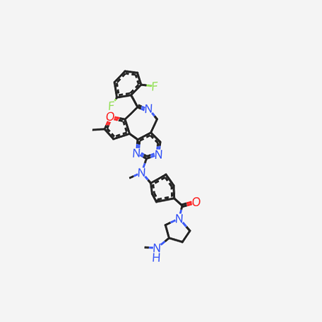 CNC1CCN(C(=O)c2ccc(N(C)c3ncc4c(n3)-c3cc(C)oc3C(c3c(F)cccc3F)=NC4)cc2)C1